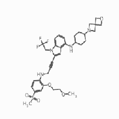 COCCOc1cc(S(C)(=O)=O)ccc1NCC#Cc1cc2c(NC3CCC(N4CC5(COC5)C4)CC3)cccc2n1CC(F)(F)F